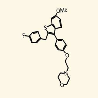 COc1ccc2c(-c3ccc(OCCN4CCOCC4)cc3)c(Cc3ccc(F)cc3)sc2c1